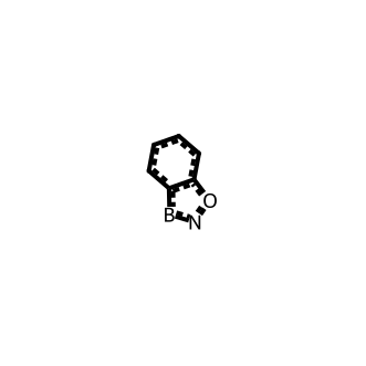 b1noc2ccccc12